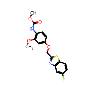 COC(=O)Nc1ccc(OCc2nc3cc(F)ccc3s2)cc1OC